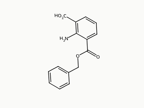 Nc1c(C(=O)O)cccc1C(=O)OCc1ccccc1